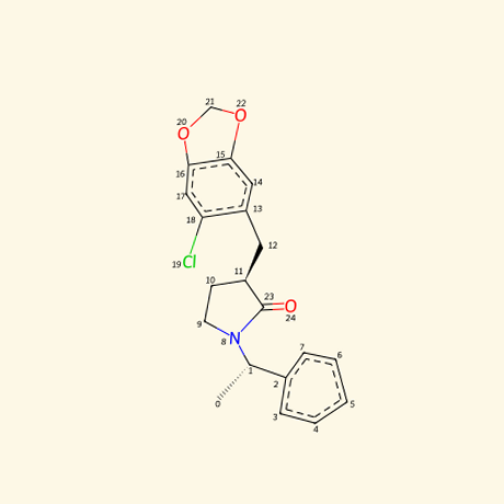 C[C@@H](c1ccccc1)N1CC[C@@H](Cc2cc3c(cc2Cl)OCO3)C1=O